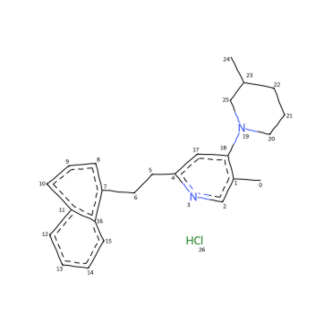 Cc1cnc(CCc2cccc3ccccc23)cc1N1CCCC(C)C1.Cl